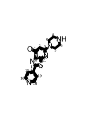 O=c1cc(N2CCNCC2)nc2sc(-c3ccncc3)nn12